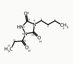 CCCCn1c(=O)[nH]n(C(=O)CC)c1=O